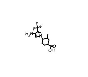 CC1CC(C(=O)O)CCC1n1cc(N)c(C(F)(F)F)n1